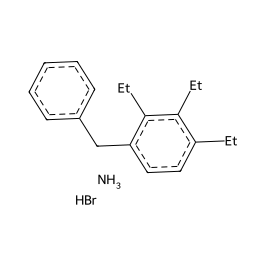 Br.CCc1ccc(Cc2ccccc2)c(CC)c1CC.N